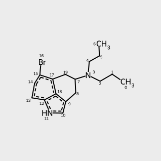 CCCN(CCC)C1Cc2c[nH]c3ccc(Br)c(c23)C1